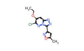 CCOc1cc2nnc(-c3cc(C)on3)n2nc1Cl